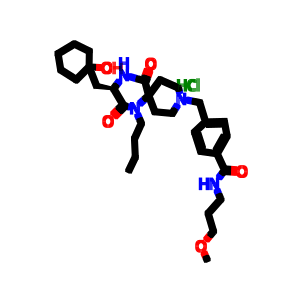 CCCCN1C(=O)[C@@H](CC2(O)CCCCC2)NC(=O)C12CCN(Cc1ccc(C(=O)NCCCOC)cc1)CC2.Cl